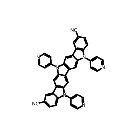 N#Cc1ccc2c(c1)c1cc3c(cc1n2-c1ccncc1)c1cc2c(cc1n3-c1ccncc1)c1cc(C#N)ccc1n2-c1ccncc1